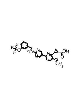 COc1ccc(-c2cnc(NCc3cccc(OC(F)(F)F)c3)nc2)nc1[C@H]1C[C@@H]1C(=O)O